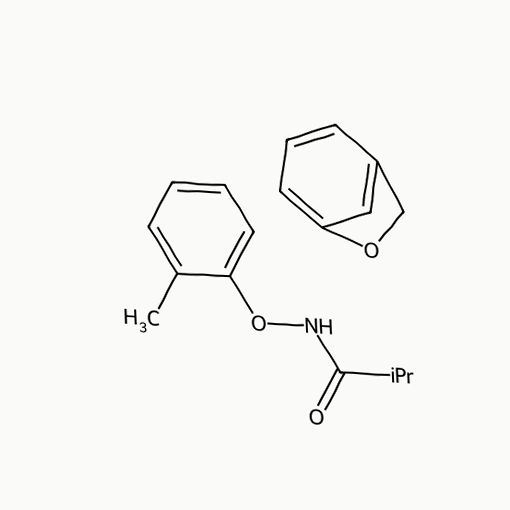 Cc1ccccc1ONC(=O)C(C)C.c1cc2cc(c1)OC2